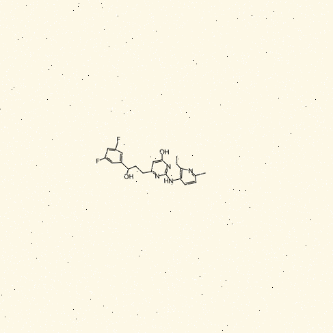 CCc1nc(C)ccc1Nc1nc(O)cc(CCC(O)c2cc(F)cc(F)c2)n1